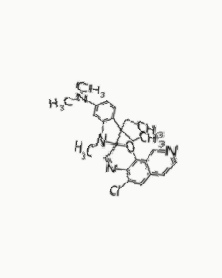 CCC1(CC)c2ccc(N(C)C)cc2N(C)C12C=Nc1c(Cl)cc3ccncc3c1O2